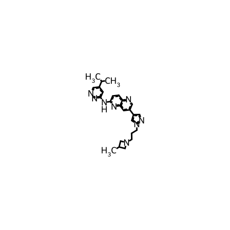 CC1CN(CCCn2cc(-c3cnc4ccc(Nc5cc(C(C)C)cnn5)nc4c3)cn2)C1